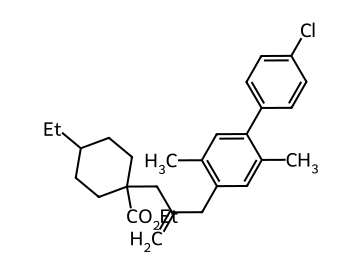 C=C(Cc1cc(C)c(-c2ccc(Cl)cc2)cc1C)CC1(C(=O)OCC)CCC(CC)CC1